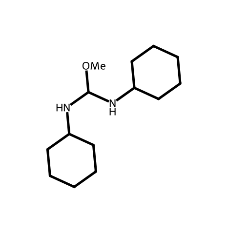 COC(NC1CCCCC1)NC1CCCCC1